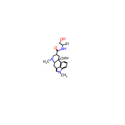 CCC(CO)NC(=O)C1CN(C)C2Cc3cn(C)c4cccc(c34)C2(OC)C1